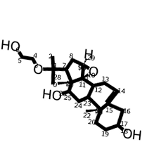 CC(C)(OCCO)C1C[C@H]2O[C@]23C2CC=C4CC(O)CC[C@]4(C)C2CC(O)[C@]13C